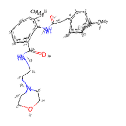 COc1ccc(C(=O)Nc2c(OC)cccc2C(=O)NCCN2CCOCC2)cc1